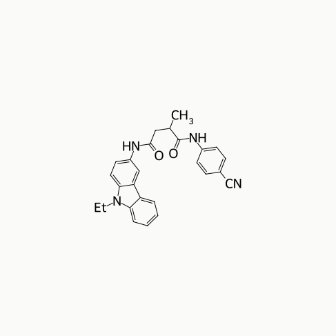 CCn1c2ccccc2c2cc(NC(=O)CC(C)C(=O)Nc3ccc(C#N)cc3)ccc21